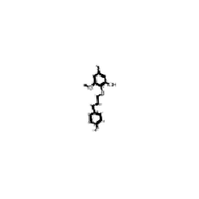 COc1cc(C)[c]c(O)c1OCCCc1ccc(F)cc1